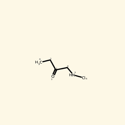 CCC(=O)CNCl